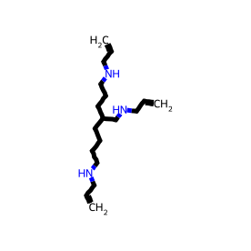 C=CCNCCCCC(CCCNCC=C)CNCC=C